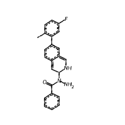 Cc1ccc(F)cc1-c1ccc2c(c1)=CNC(N(N)C(=O)c1ccccc1)C=2